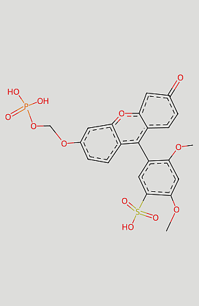 COc1cc(OC)c(S(=O)(=O)O)cc1-c1c2ccc(=O)cc-2oc2cc(OCOP(=O)(O)O)ccc12